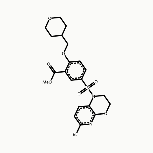 CCc1ccc2c(n1)OCCN2S(=O)(=O)c1ccc(OCC2CCOCC2)c(C(=O)OC)c1